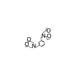 c1cc(CN(CC2CO2)CC2CO2)cc(CN(CC2CO2)C2CCO2)c1